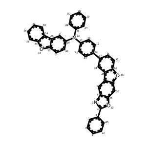 c1ccc(-c2nc3cc4c(cc3o2)oc2ccc(-c3ccc(N(c5ccccc5)c5ccc6oc7ccccc7c6c5)cc3)cc24)cc1